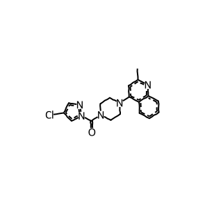 Cc1cc(N2CCN(C(=O)n3cc(Cl)cn3)CC2)c2ccccc2n1